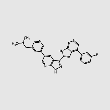 CN(C)Cc1cncc(-c2cnc3[nH]nc(-c4cc5c(-c6cccc(F)c6)cncc5[nH]4)c3c2)c1